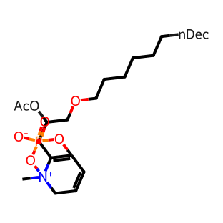 CCCCCCCCCCCCCCCCOCC(CC1=C2C=CC[N+]1(C)OP(=O)([O-])O2)OC(C)=O